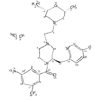 C[C@@H]1CN(CCN2CCN(C(=O)c3cc([N+](=O)[O-])cc(C(F)(F)F)c3)[C@H](Cc3ccc(Cl)cc3)C2)C[C@H](C)O1.Cl.Cl